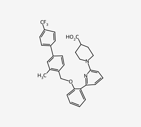 Cc1cc(-c2ccc(C(F)(F)F)cc2)ccc1COc1ccccc1-c1cccc(N2CCC(C(=O)O)CC2)n1